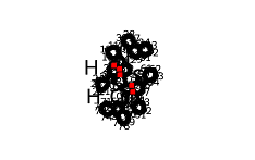 Cc1cc(-c2ccc(N(c3ccccc3-c3ccc4sc5ccccc5c4c3)c3cc4ccccc4c4ccccc34)c(C)c2)ccc1N(c1ccccc1-c1ccc2sc3ccccc3c2c1)c1cc2ccccc2c2ccccc12